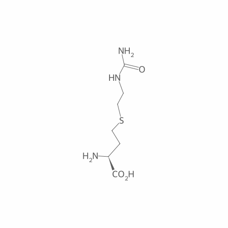 NC(=O)NCCSCC[C@H](N)C(=O)O